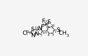 CSc1ccc(-c2cn3nc(Cl)sc3n2)c(C(F)(F)F)c1